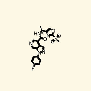 C[C@H](NC(=O)c1cncc2c1cnn2-c1ccc(F)cc1)c1coc(S(C)(=O)=O)n1